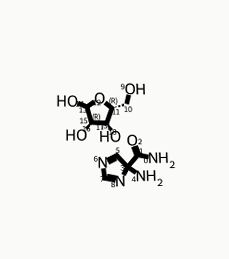 NC(=O)C1(N)C=NC=N1.OC[C@H]1OC(O)[C@H](O)[C@@H]1O